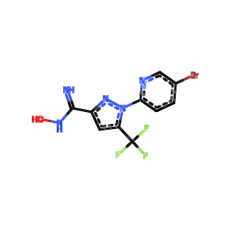 N=C(NO)c1cc(C(F)(F)F)n(-c2ccc(Br)cn2)n1